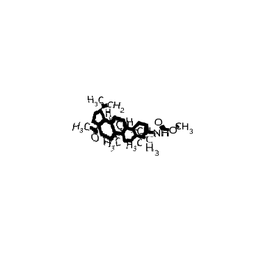 C=C(C)[C@@H]1CC[C@]2(C(C)=O)CC[C@]3(C)[C@H](CC[C@@H]4[C@@]5(C)CCC(NC(=O)OC)C(C)(C)C5CC[C@]43C)C12